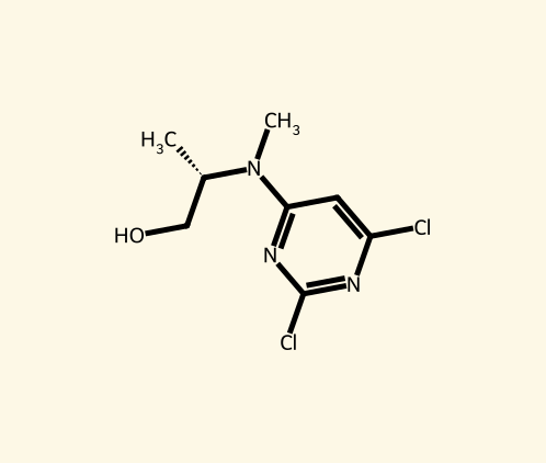 C[C@@H](CO)N(C)c1cc(Cl)nc(Cl)n1